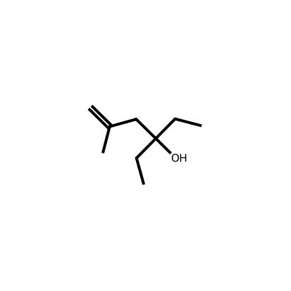 C=C(C)CC(O)(CC)CC